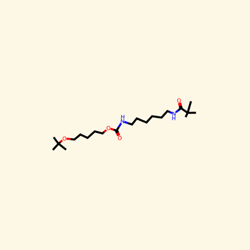 CC(C)(C)OCCCCCOC(=O)NCCCCCCNC(=O)C(C)(C)C